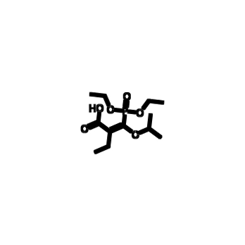 CCOP(=O)(OCC)/C(OC(C)C)=C(/CC)C(=O)O